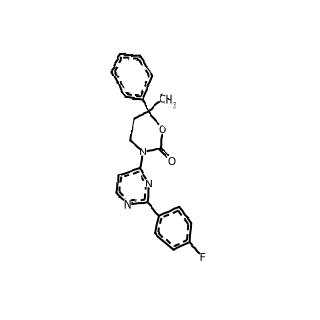 CC1(c2ccccc2)CCN(c2ccnc(-c3ccc(F)cc3)n2)C(=O)O1